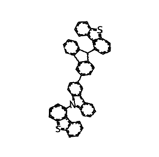 c1ccc2c(c1)-c1cc(-c3ccc4c(c3)c3ccccc3n4-c3cccc4sc5ccccc5c34)ccc1C2c1cccc2sc3ccccc3c12